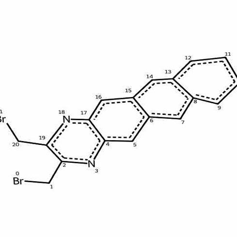 BrCc1nc2cc3cc4ccccc4cc3cc2nc1CBr